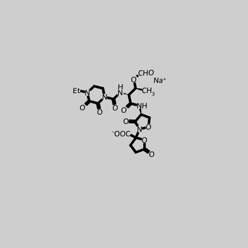 CCN1CCN(C(=O)N[C@@H](C(=O)N[C@H]2CON(C3(C(=O)[O-])CCC(=O)O3)C2=O)[C@H](C)OC=O)C(=O)C1=O.[Na+]